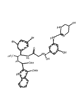 COc1c(C(O)NC(C(=O)O)C(NC(=O)CNC(O)c2cc(O)cc(NC3=NCC(O)CN3)c2)c2cc(Br)cc(C(C)(C)C)c2)[nH]c2ccccc12